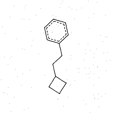 c1ccc(CCC2CCC2)cc1